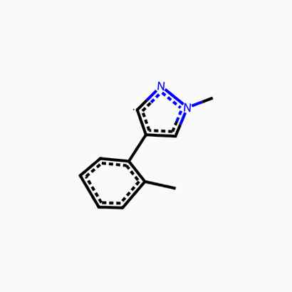 Cc1ccccc1-c1[c]nn(C)c1